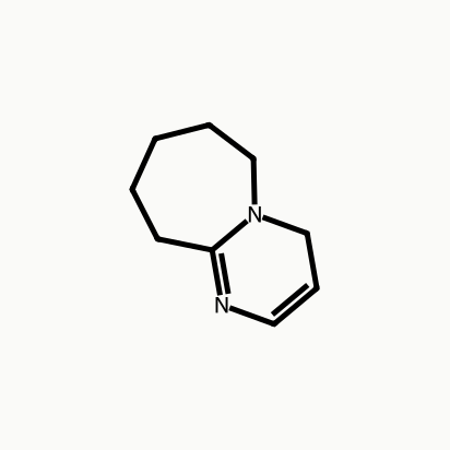 C1=CN=C2CCCCCN2C1